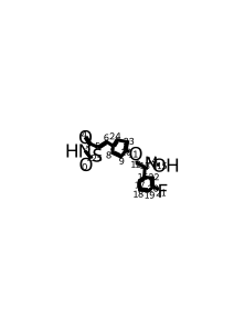 O=C1NC(=O)/C(=C/c2ccc(OCC(=NO)c3cccc(F)c3)cc2)S1